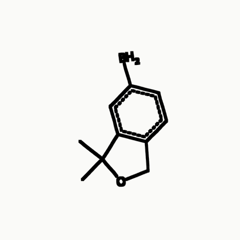 Bc1ccc2c(c1)C(C)(C)OC2